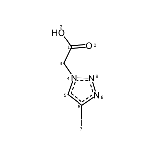 O=C(O)Cn1cc(I)nn1